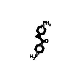 O=C(C1CC12CCN(P)CC2)N1CCN(P)CC1